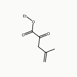 C=C(C)CC(=O)C(=O)OCC